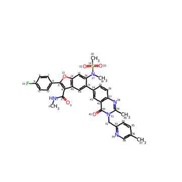 CNC(=O)c1c(-c2ccc(F)cc2)oc2cc(N(C)S(C)(=O)=O)c(-c3ccc4nc(C)n(Cc5ccc(C)cn5)c(=O)c4c3)cc12